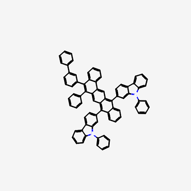 c1ccc(-c2cccc(-c3c(-c4ccccc4)c4cc5c(-c6ccc7c8ccccc8n(-c8ccccc8)c7c6)c6ccccc6c(-c6ccc7c8ccccc8n(-c8ccccc8)c7c6)c5cc4c4ccccc34)c2)cc1